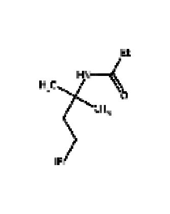 CCC(=O)NC(C)(C)CCC(C)C